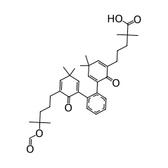 CC1(C)C=C(CCCC(C)(C)OC=O)C(=O)C(c2ccccc2C2=CC(C)(C)C=C(CCCC(C)(C)C(=O)O)C2=O)=C1